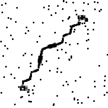 CCCCCC#C[CH]C#CCCCCCC